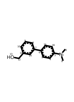 CN(C)c1ccc(-c2[c]ccc(CO)c2)cc1